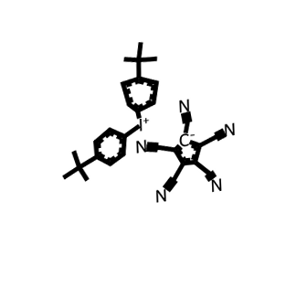 CC(C)(C)c1ccc([I+]c2ccc(C(C)(C)C)cc2)cc1.N#Cc1c(C#N)c(C#N)[c-](C#N)c1C#N